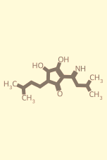 CC(C)CCC1C(=O)C(C(=N)CC(C)C)=C(O)C1O